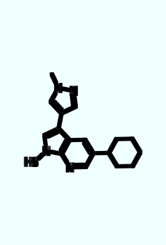 Cn1cc(-c2cn(S)c3ncc(C4CCCCC4)cc23)cn1